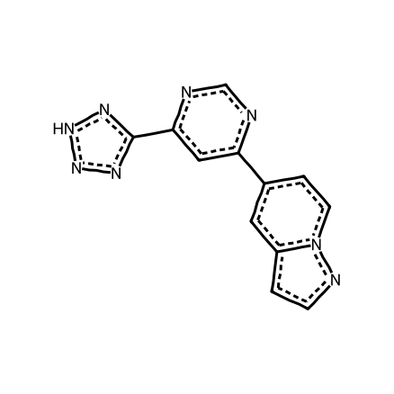 c1nc(-c2ccn3nccc3c2)cc(-c2nn[nH]n2)n1